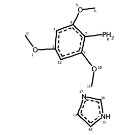 COc1cc(OC)c(P)c(OC)c1.c1c[nH]cn1